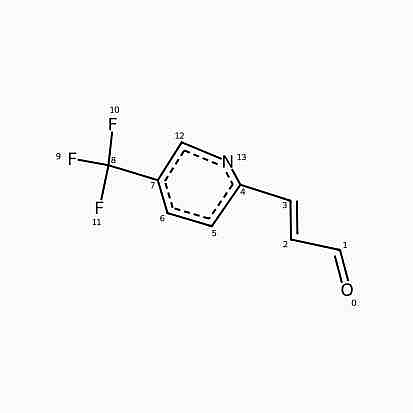 O=CC=Cc1ccc(C(F)(F)F)cn1